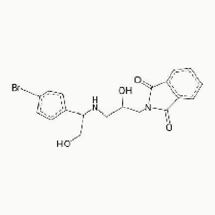 O=C1c2ccccc2C(=O)N1CC(O)CNC(CO)c1ccc(Br)cc1